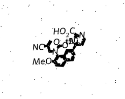 C=C(C#N)CN(C(=O)OC(C)(C)C)c1c(OC)ccc2ccc(-c3ccnc(C(=O)O)n3)cc12